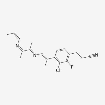 C\C=C/N=C(C)\C(C)=N\C=C(/C)c1ccc(CCC#N)c(F)c1Cl